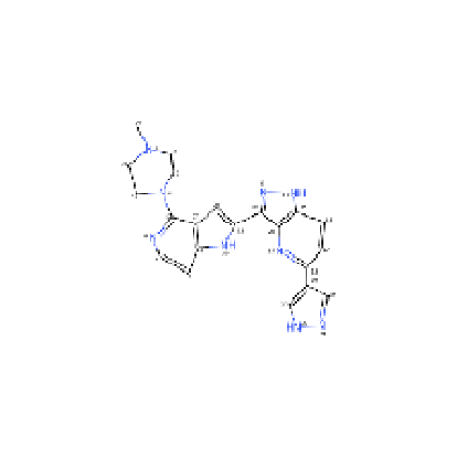 CN1CCN(c2nccc3[nH]c(-c4n[nH]c5ccc(-c6cn[nH]c6)nc45)cc23)CC1